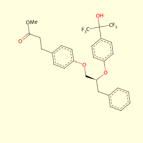 COC(=O)CCc1ccc(OC[C@H](Cc2ccccc2)Oc2ccc(C(O)(C(F)(F)F)C(F)(F)F)cc2)cc1